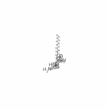 CCCCCCCCCCCCCC(CC(O)COP(=O)(O)OCCN)C(=O)O